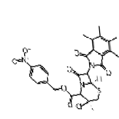 Cc1c(C)c(C)c2c(c1C)C(=O)N(C1C(=O)N3C(C(=O)OCc4ccc([N+](=O)[O-])cc4)[C@](C)(Cl)CS[C@H]13)C2=O